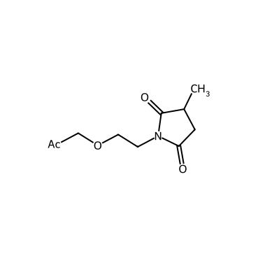 CC(=O)COCCN1C(=O)CC(C)C1=O